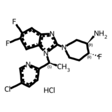 C[C@@H](c1ccc(Cl)cn1)n1c(N2CC[C@@H](F)[C@H](N)C2)nc2cc(F)c(F)cc21.Cl